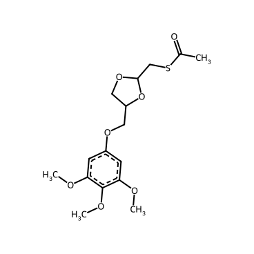 COc1cc(OCC2COC(CSC(C)=O)O2)cc(OC)c1OC